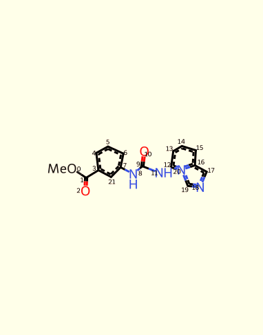 COC(=O)c1cccc(NC(=O)Nc2cccc3cncn23)c1